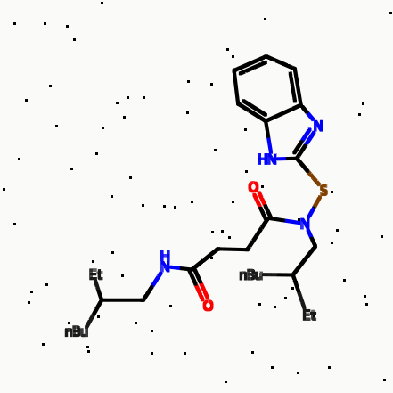 CCCCC(CC)CNC(=O)CCC(=O)N(CC(CC)CCCC)Sc1nc2ccccc2[nH]1